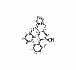 Cn1cncc1C(Oc1ccccc1)C1=CC(c2ccccc2)C(C)(C#N)C=C1